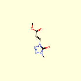 COC(=O)/C=C/n1nnn(C)c1=O